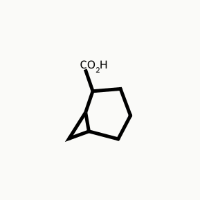 O=C(O)C1CCCC2CC21